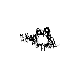 N=C(N)NCCC[C@@H]1NC(=O)CNC(O)[C@H](CC(=O)O)NC(=O)[C@@H](Cc2ccccc2)NC(=O)C2(CCOCC2)NC1=O